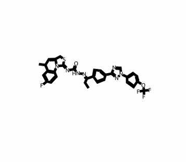 CC/C(=N\NC(=O)/N=C1\SCC2=CC(C)c3cc(F)ccc3N21)c1ccc(-c2ncn(-c3ccc(OC(F)(F)F)cc3)n2)cc1